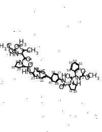 COC(=O)N[C@H](C(=O)N1CCC[C@H]1C(=O)Nc1ccc(-c2cn3cc(NC(=O)C4CCCN4C(=O)[C@@H](NC(=O)OC)C(C)C)nc3s2)cc1)c1ccccc1